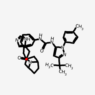 Cc1ccc(-n2nc(C(C)(C)C)cc2NC(=O)Nc2cccc(CC3CC4CCC(C3)N4C(=O)Cc3cnc[nH]3)c2)cc1